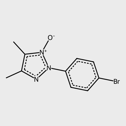 Cc1nn(-c2ccc(Br)cc2)[n+]([O-])c1C